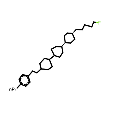 CCCc1ccc(CCC2CCC(C3CCC([C@H]4CC[C@H](CCCCCF)CC4)CC3)CC2)cc1